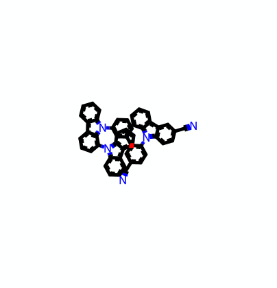 N#Cc1ccc(-n2c3ccccc3c3cc(C#N)ccc32)c(-c2cccc(-n3c4ccccc4c4cccc(-n5c6ccccc6c6ccccc65)c43)c2)c1